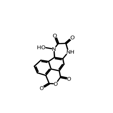 O=C1OC(=O)c2cc3[nH]c(=O)c(=O)n(O)c3c3cccc1c23